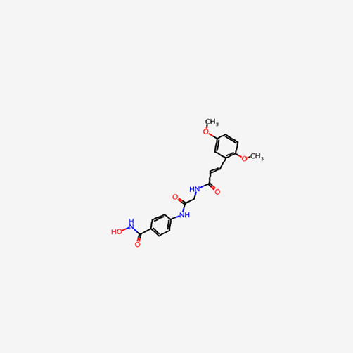 COc1ccc(OC)c(/C=C/C(=O)NCC(=O)Nc2ccc(C(=O)NO)cc2)c1